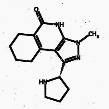 Cn1nc([C@@H]2CCCN2)c2c3c(c(=O)[nH]c21)CCCC3